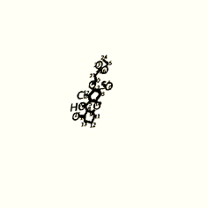 O=[S+]c1ccc(C(O)C2C(=O)CCCC2=O)c(Cl)c1OCCC1OCCO1